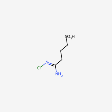 NC(CCCS(=O)(=O)O)=NCl